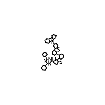 c1ccc(C2=NC(c3ccc4sc5cccc(-c6cccc7c6sc6ccc(-n8c9ccccc9c9ccccc98)cc67)c5c4c3)NC(c3ccccc3)=N2)cc1